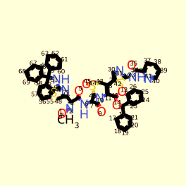 CON=C(C(=O)NC1C(=O)N2C(C(=O)OC(c3ccccc3)c3ccccc3)=C(c3cnc(NC(=O)c4ccccn4)s3)C[S+]([O-])C12)c1csc(NC(c2ccccc2)(c2ccccc2)c2ccccc2)n1